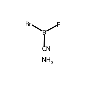 N.N#CB(F)Br